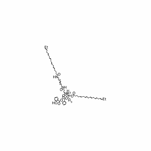 CCC=CCC=CCC=CCC=CCC=CCCCC(=O)NCCSSCCNC(=O)CCNC(=O)[C@H](OC(=O)c1ccccc1OC(=O)c1ccccc1O)C(C)(C)COC(=O)CCCC=CCC=CCC=CCC=CCC=CCC